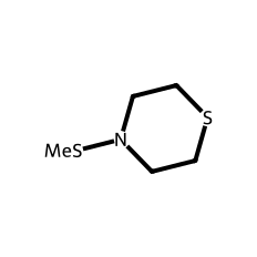 CSN1CCSCC1